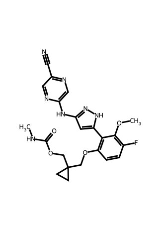 CNC(=O)OCC1(COc2ccc(F)c(OC)c2-c2cc(Nc3cnc(C#N)cn3)n[nH]2)CC1